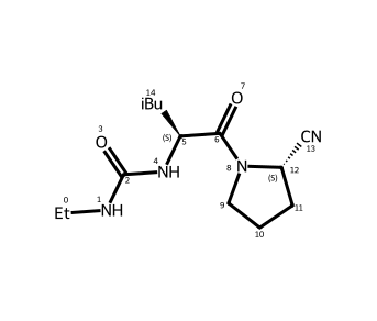 CCNC(=O)N[C@H](C(=O)N1CCC[C@H]1C#N)C(C)CC